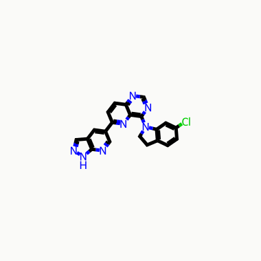 Clc1ccc2c(c1)N(c1ncnc3ccc(-c4cnc5[nH]ncc5c4)nc13)CC2